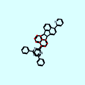 c1ccc(-c2nc(-c3ccccc3)nc(-c3ccc4c5c(cccc35)C35c6cccc7c(-c8ccccn8)ccc(c67)C43c3ccc(-c4ccccn4)c4cccc5c34)n2)cc1